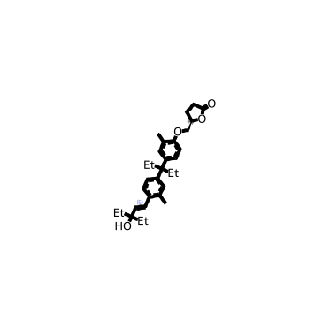 CCC(O)(/C=C/c1ccc(C(CC)(CC)c2ccc(OC[C@H]3CCC(=O)O3)c(C)c2)cc1C)CC